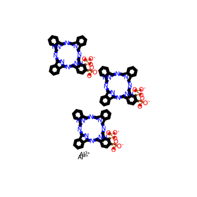 O=S(=O)([O-])c1ccc2c3nc4nc(nc5[nH]c(nc6nc(nc([nH]3)c2c1S(=O)(=O)[O-])-c1ccccc1-6)c1ccccc51)-c1ccccc1-4.O=S(=O)([O-])c1ccc2c3nc4nc(nc5[nH]c(nc6nc(nc([nH]3)c2c1S(=O)(=O)[O-])-c1ccccc1-6)c1ccccc51)-c1ccccc1-4.O=S(=O)([O-])c1ccc2c3nc4nc(nc5[nH]c(nc6nc(nc([nH]3)c2c1S(=O)(=O)[O-])-c1ccccc1-6)c1ccccc51)-c1ccccc1-4.[Al+3].[Al+3]